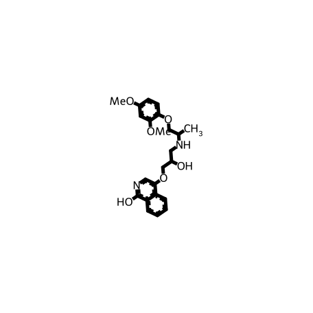 COc1ccc(OCC(C)NCC(O)COc2cnc(O)c3ccccc23)c(OC)c1